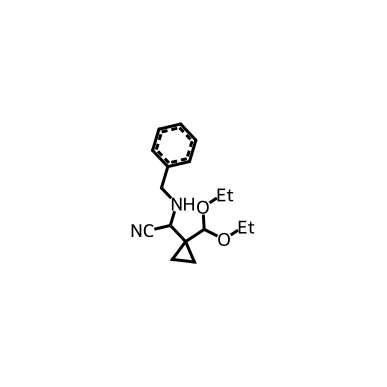 CCOC(OCC)C1(C(C#N)NCc2ccccc2)CC1